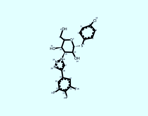 OCC1O[C@H](Sc2ccc(Cl)cc2)C(O)[C@@H](n2cc(-c3cc(F)c(F)c(F)c3)nn2)[C@H]1O